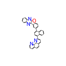 c1cnc2c(c1)ccc1ccc(-c3ccc(-c4ccc5oc6nc7ccccc7nc6c5c4)c4ccccc34)nc12